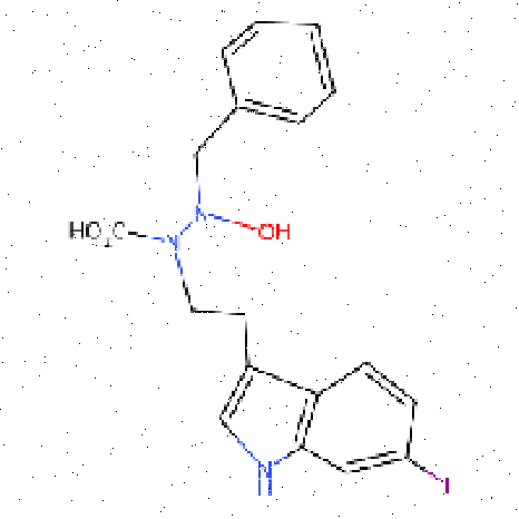 O=C(O)N(CCc1c[nH]c2cc(I)ccc12)N(O)Cc1ccccc1